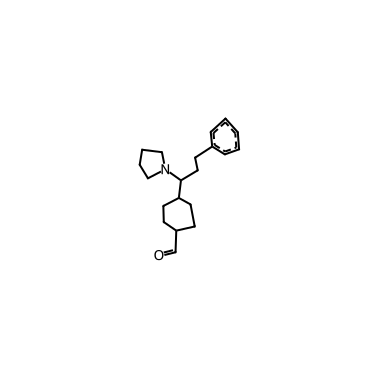 O=CC1CCC(C(CCc2ccccc2)N2CCCC2)CC1